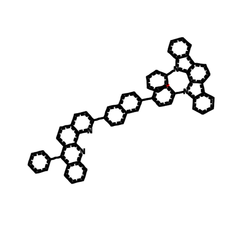 c1ccc(-c2c3ccccc3nc3c2ccc2ccc(-c4ccc5cc(-c6ccc(-n7c8ccccc8c8ccc9c%10ccccc%10n(-c%10ccccc%10)c9c87)cc6)ccc5c4)nc23)cc1